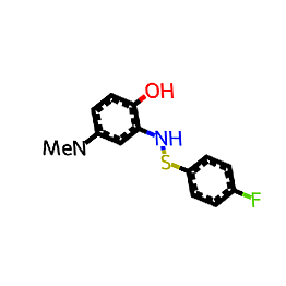 CNc1ccc(O)c(NSc2ccc(F)cc2)c1